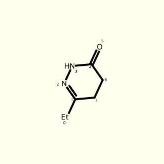 CCC1=NNC(=O)CC1